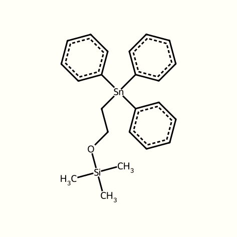 C[Si](C)(C)OC[CH2][Sn]([c]1ccccc1)([c]1ccccc1)[c]1ccccc1